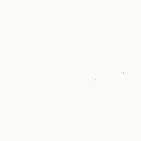 COC(=O)C(CC=CC#CC(C)(C)C)Cc1cccc(OCc2cc(-c3ccsc3)cs2)c1